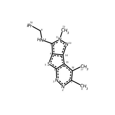 Cc1nnc2sc3c(NCC(C)C)n(C)nc3c2c1C